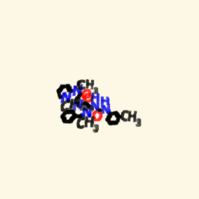 CC1=N[C@@H](NC(=O)Nc2cccc(C)c2)C(=O)N(CC(=O)N(C)c2ccccn2)c2c(C)cccc21